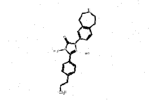 Cl.Cn1c(-c2ccc(CCC(=O)O)cc2)nn(-c2ccc3c(c2)CCNCC3)c1=O